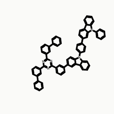 c1ccc(-c2cccc(-c3nc(-c4cccc(-c5ccccc5)c4)nc(-c4cccc(-c5ccc6c(c5)c5ccccc5n6-c5ccc(-c6ccc7c8ccccc8n(-c8ccccc8)c7c6)cc5)c4)n3)c2)cc1